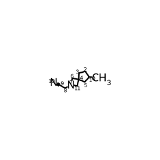 CC1CCC2(C1)CN(CC#N)C2